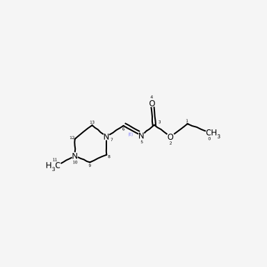 CCOC(=O)/N=C/N1CCN(C)CC1